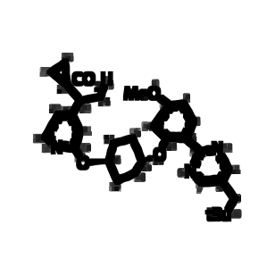 COc1ccc(-c2ncc(CC(C)(C)C)cn2)c(O[C@H]2CC[C@H](Oc3cc(C(CC(=O)O)C4CC4)ccn3)CC2)c1